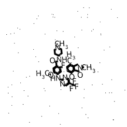 COc1cc(C(=O)NC2CCN(C)CC2)c(F)cc1Nc1ncc(C(F)(F)F)c(Oc2ccc(C)c3c2C(=O)N(C)C3)n1